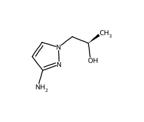 C[C@@H](O)Cn1ccc(N)n1